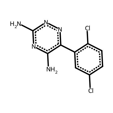 Nc1nnc(-c2cc(Cl)ccc2Cl)c(N)n1